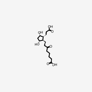 O=C(O)CCCCC(=O)CC[C@@H]1[C@@H](CCC(=O)O)[C@@H](O)C[C@H]1O